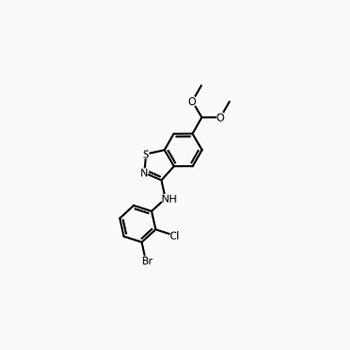 COC(OC)c1ccc2c(Nc3cccc(Br)c3Cl)nsc2c1